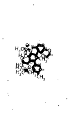 Cc1ccc(-c2c(C)c3c(c(C)c2[C@H](OC(C)(C)C)C(=O)O)N(S(C)(=O)=O)Cc2ccc4c(c2-3)OCCO4)cc1